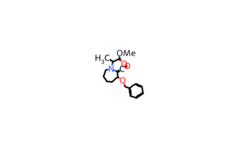 COC(=O)C(C)N1CCCCC(OCc2ccccc2)C1=C=O